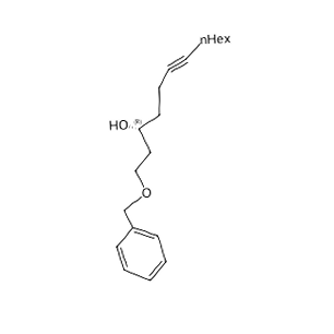 CCCCCCC#CCC[C@@H](O)CCOCc1ccccc1